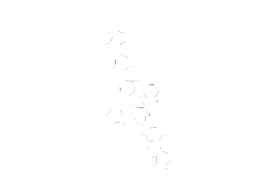 c1ccc(-c2ccc(-c3cccc4c3oc3cccc(-c5nc(-c6ccccc6)nc(-c6ccc7c(c6)oc6ccccc67)n5)c34)cc2)cc1